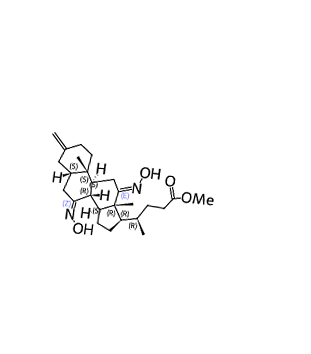 C=C1CC[C@@]2(C)[C@@H](C1)C/C(=N/O)[C@@H]1[C@@H]2C/C(=N\O)[C@]2(C)[C@@H]([C@H](C)CCC(=O)OC)CC[C@@H]12